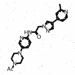 CC(=O)N1CCN(c2ccc(NC(=O)Cn3cc(-c4ccnc(C)c4)cn3)nc2)CC1